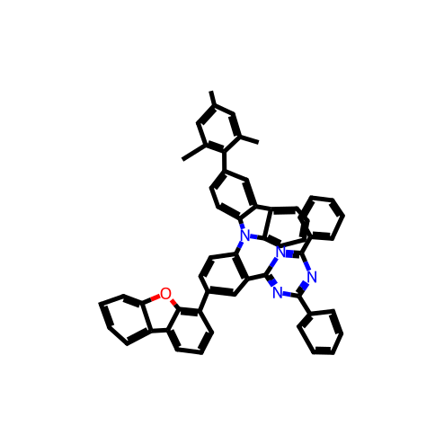 Cc1cc(C)c(-c2ccc3c(c2)c2ccccc2n3-c2ccc(-c3cccc4c3oc3ccccc34)cc2-c2nc(-c3ccccc3)nc(-c3ccccc3)n2)c(C)c1